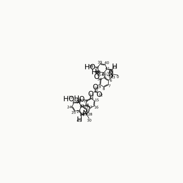 CN1CC[C@]23c4c5ccc(OC(=O)Oc6ccc7c8c6O[C@H]6C(O)C=CC9[C@@H](C7)N(C)CC[C@@]896)c4O[C@H]2C(O)C=CC3[C@H]1C5